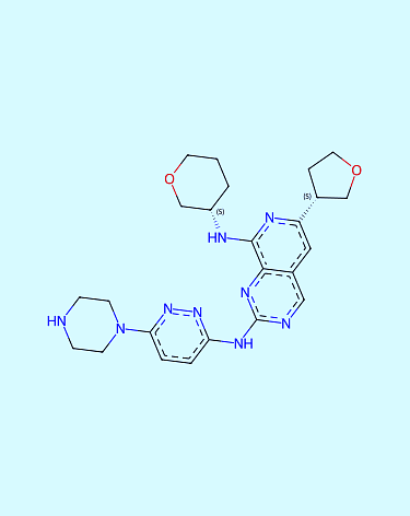 c1cc(N2CCNCC2)nnc1Nc1ncc2cc([C@@H]3CCOC3)nc(N[C@H]3CCCOC3)c2n1